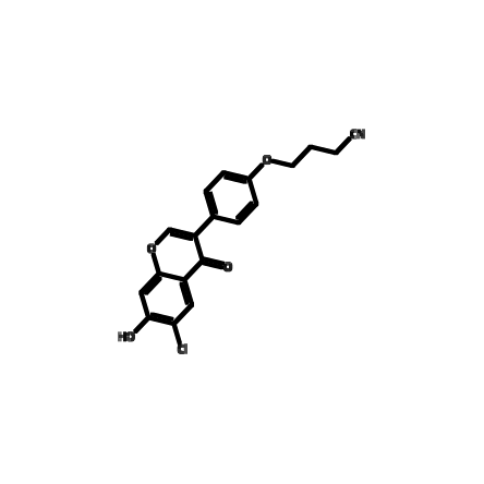 N#CCCCOc1ccc(-c2coc3cc(O)c(Cl)cc3c2=O)cc1